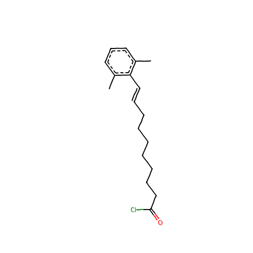 Cc1cccc(C)c1C=CCCCCCCCC(=O)Cl